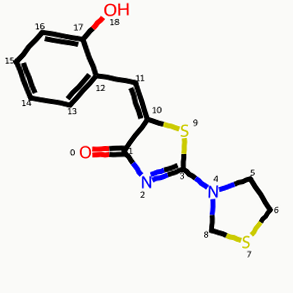 O=C1N=C(N2CCSC2)SC1=Cc1ccccc1O